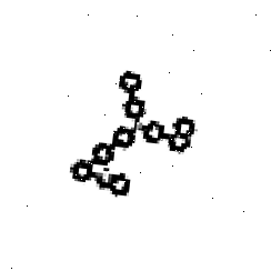 c1ccc(-c2ccc(N(c3ccc(-c4ccc(-c5ccccc5-c5cc6ccccc6o5)cc4)cc3)c3ccc(-c4cccc5ccccc45)cc3)cc2)cc1